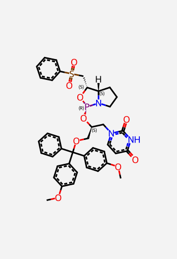 COc1ccc(C(OC[C@H](Cn2ccc(=O)[nH]c2=O)O[P@@]2O[C@H](CS(=O)(=O)c3ccccc3)[C@@H]3CCCN32)(c2ccccc2)c2ccc(OC)cc2)cc1